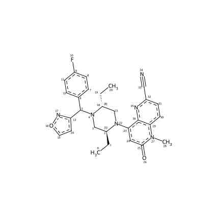 CC[C@H]1CN(C(c2ccc(F)cc2)c2ccon2)[C@H](CC)CN1c1cc(=O)n(C)c2ccc(C#N)nc12